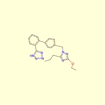 CCCc1nc(OCC)nn1Cc1ccc(-c2ccccc2-c2nnn[nH]2)cc1